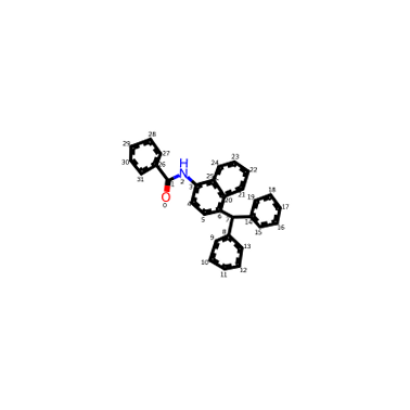 O=C(Nc1ccc(C(c2ccccc2)c2ccccc2)c2ccccc12)c1ccccc1